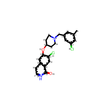 Cc1cc(Cl)cc(CN2CCC(Oc3cc4cc[nH]c(=O)c4cc3Cl)CC2)c1